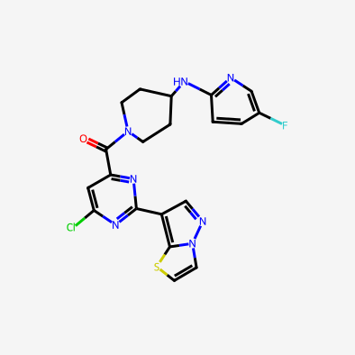 O=C(c1cc(Cl)nc(-c2cnn3ccsc23)n1)N1CCC(Nc2ccc(F)cn2)CC1